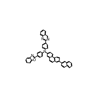 c1ccc2cc(-c3ccc4c(ccc5cc(N(c6ccc(-c7ncc8ccccc8n7)cc6)c6ccc(-c7nc8ccccc8o7)cc6)ccc54)c3)ccc2c1